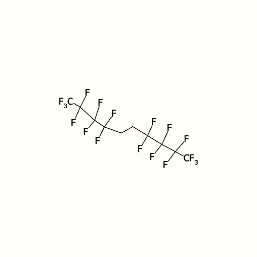 FC(F)(F)C(F)(F)C(F)(F)C(F)(F)CCC(F)(F)C(F)(F)C(F)(F)C(F)(F)F